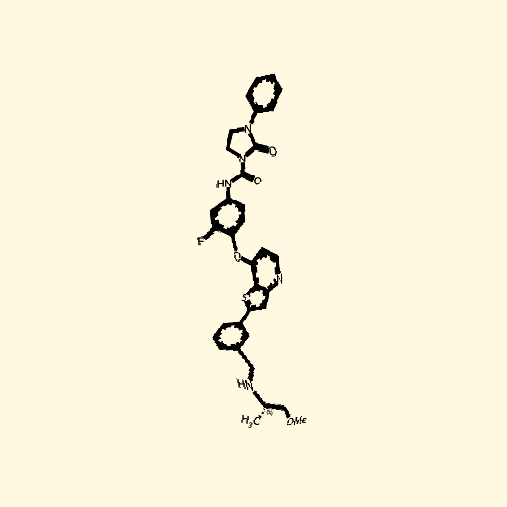 COC[C@H](C)NCc1cccc(-c2cc3nccc(Oc4ccc(NC(=O)N5CCN(c6ccccc6)C5=O)cc4F)c3s2)c1